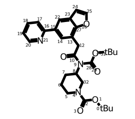 CC(C)(C)OC(=O)N1CCCC(N(C(=O)Cc2cc(-c3ccccn3)cc3ccoc23)C(=O)OC(C)(C)C)C1